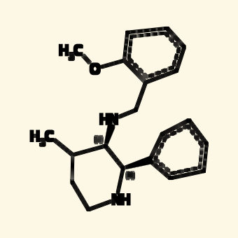 COc1ccccc1CN[C@@H]1C(C)CCN[C@@H]1c1ccccc1